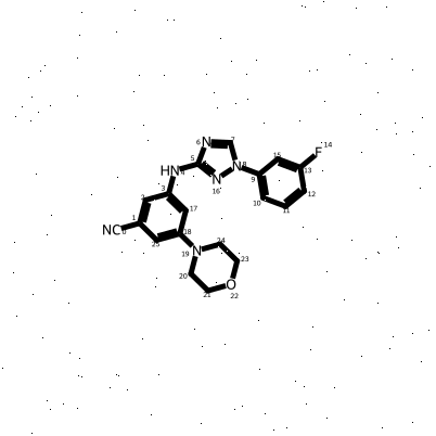 N#Cc1cc(Nc2ncn(-c3cccc(F)c3)n2)cc(N2CCOCC2)c1